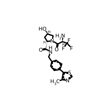 Cc1ncsc1-c1ccc(CNC(=O)[C@@H]2C[C@@H](O)CN2C(=O)[C@@H](N)C(F)(F)F)cc1